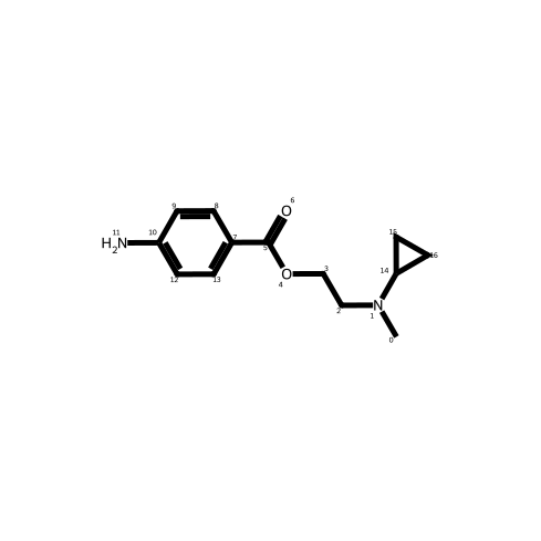 CN(CCOC(=O)c1ccc(N)cc1)C1CC1